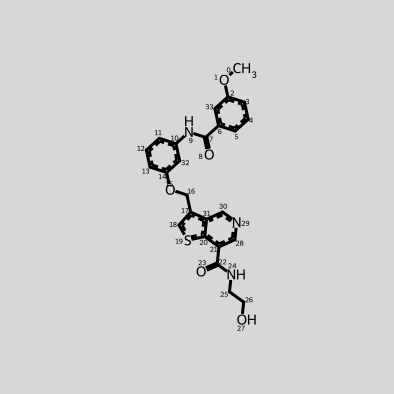 COc1cccc(C(=O)Nc2cccc(OCc3csc4c(C(=O)NCCO)cncc34)c2)c1